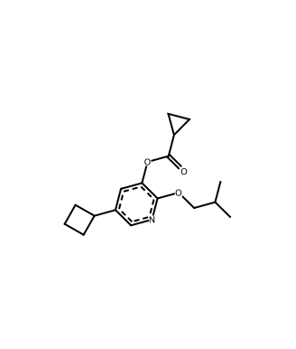 CC(C)COc1ncc(C2CCC2)cc1OC(=O)C1CC1